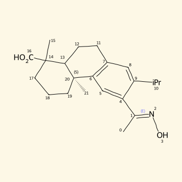 C/C(=N\O)c1cc2c(cc1C(C)C)CCC1C(C)(C(=O)O)CCC[C@]21C